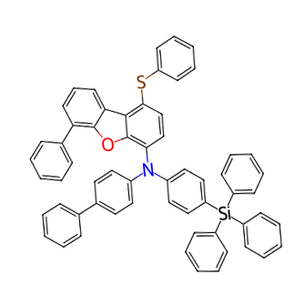 c1ccc(Sc2ccc(N(c3ccc(-c4ccccc4)cc3)c3ccc([Si](c4ccccc4)(c4ccccc4)c4ccccc4)cc3)c3oc4c(-c5ccccc5)cccc4c23)cc1